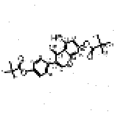 CC(C)(C)C(=O)Oc1ccc(-c2coc3cc(OC(=O)C(C)(C)C)cc(O)c3c2=O)cc1